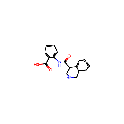 O=C(O)c1ccccc1NC(=O)C1CNCc2ccccc21